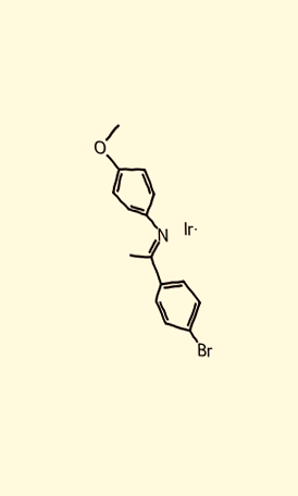 COc1ccc(/N=C(\C)c2ccc(Br)cc2)cc1.[Ir]